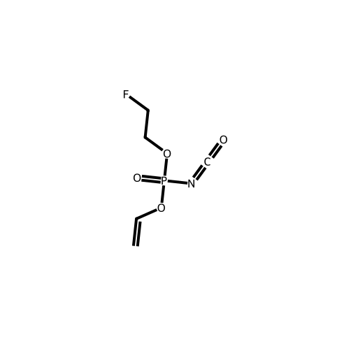 C=COP(=O)(N=C=O)OCCF